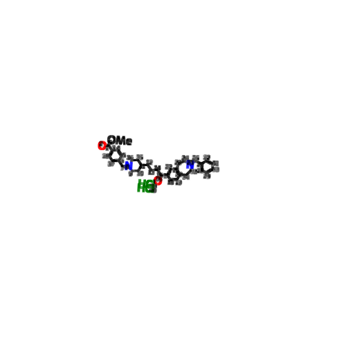 COC(=O)c1ccc(CN2CCC(CCCC(=O)c3ccc4c(c3)CCN(Cc3ccccc3)CC4)CC2)cc1.Cl.Cl